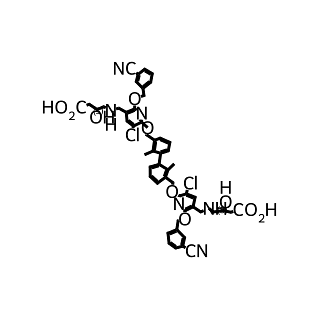 Cc1c(COc2nc(OCc3cccc(C#N)c3)c(CNC[C@@H](O)CC(=O)O)cc2Cl)cccc1-c1cccc(COc2nc(OCc3cccc(C#N)c3)c(CNC[C@@H](O)CC(=O)O)cc2Cl)c1C